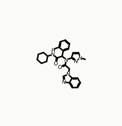 Cc1ccccc1C(C(=O)NC1CCCCC1)N(C(=O)Cn1cnc2ccccc21)c1ccn(C)n1